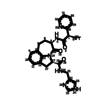 CC(C)[C@@H](C(=O)N[C@H]1CCc2cccc3c2N(C1=O)[C@H](C(=O)NCc1c[nH]cn1)C3)c1ccccn1